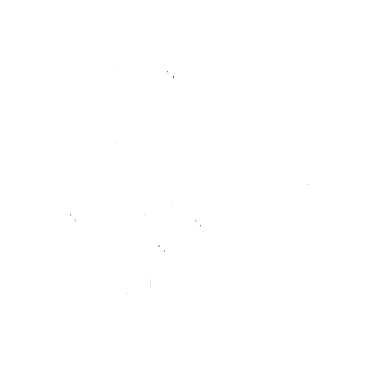 COc1cc(C(O)(CCN(C)C)C(c2cc3cc(Br)ccc3nc2OC)c2ccnc(OC)c2OC)cc(OC(F)(F)F)n1